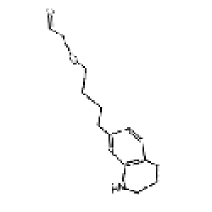 O=CCOCCCCc1ccc2c(n1)NCCC2